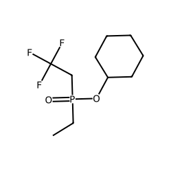 CCP(=O)(CC(F)(F)F)OC1CCCCC1